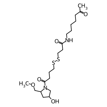 COCC1CC(O)CN1C(=O)CCCSSCCC(=O)NCCCCCC(C)=O